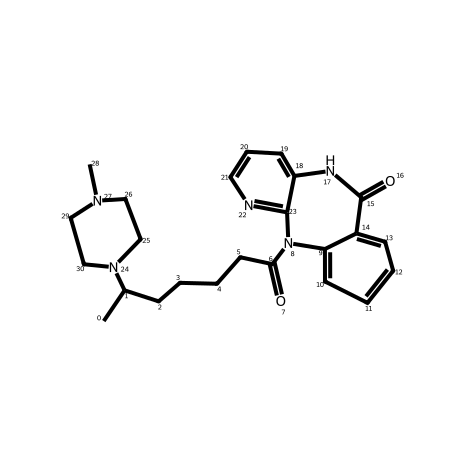 CC(CCCCC(=O)N1c2ccccc2C(=O)Nc2cccnc21)N1CCN(C)CC1